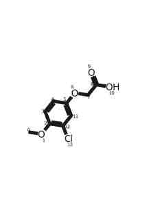 COc1ccc(OCC(=O)O)cc1Cl